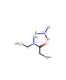 CCCCCCCCCCCC(=O)N(C)CC(=O)O.CCN(CC)CC